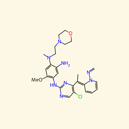 C=NN1C=CC=C/C1=C(/C)c1nc(Nc2cc(N)c(N(C)CCN3CCOCC3)cc2OC)ncc1Cl